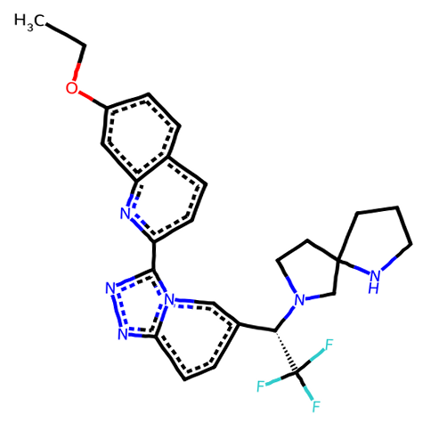 CCOc1ccc2ccc(-c3nnc4ccc([C@H](N5CCC6(CCCN6)C5)C(F)(F)F)cn34)nc2c1